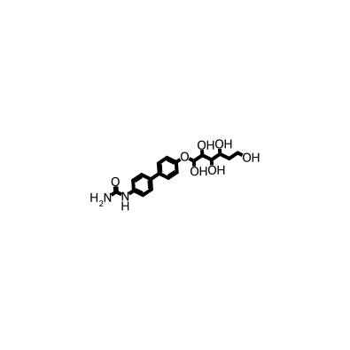 NC(=O)Nc1ccc(-c2ccc(OC(O)C(O)C(O)C(O)CCO)cc2)cc1